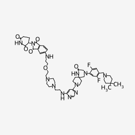 CC1(C)CCN(Cc2cc(F)c(N3CC(=O)NC4(CCN(c5cc(NCCN6CCN(CCOCCNc7ccc8c(c7)C(=O)N(C7CCC(=O)NC7=O)C8=O)CC6)ncn5)CC4)C3)cc2F)CC1